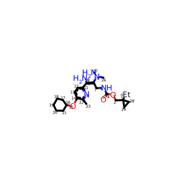 CCC1(COC(=O)NC/C(=C(/N)c2ccc(OC3CCCCC3)c(C)n2)N(C)N)CC1